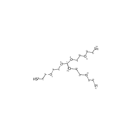 SCCOCCOC(OCCOCCS)OCCOCCS